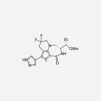 CC[C@H](OC)[C@H]1CN2CC(F)(F)Cc3c(-c4cn[nH]c4)sc(c32)C(=O)N1